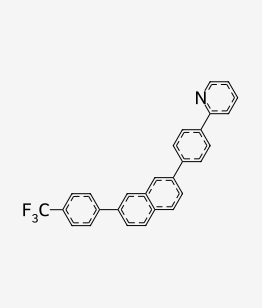 FC(F)(F)c1ccc(-c2ccc3ccc(-c4ccc(-c5ccccn5)cc4)cc3c2)cc1